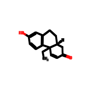 CCC12C=CC(=O)C[C@H]1CCc1cc(O)ccc12